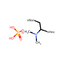 CCCCCCCCCCC(CCCCCC)N(C)C.O=P(O)(O)O